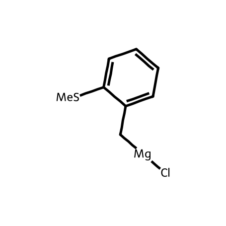 CSc1ccccc1[CH2][Mg][Cl]